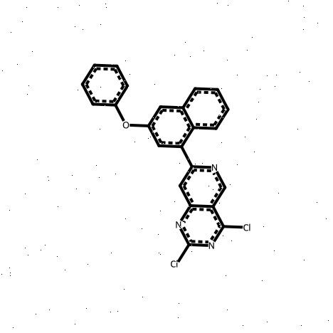 Clc1nc(Cl)c2cnc(-c3cc(Oc4ccccc4)cc4ccccc34)cc2n1